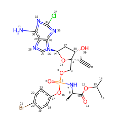 C#C[C@]1(COP(=O)(N[C@H](C)C(=O)OC(C)C)Oc2ccc(Br)cc2)O[C@@H](n2cnc3c(N)nc(Cl)nc32)C[C@@H]1O